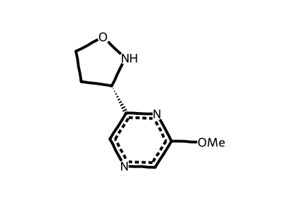 COc1cncc([C@@H]2CCON2)n1